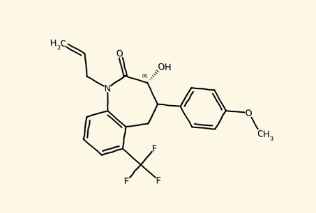 C=CCN1C(=O)[C@H](O)C(c2ccc(OC)cc2)Cc2c1cccc2C(F)(F)F